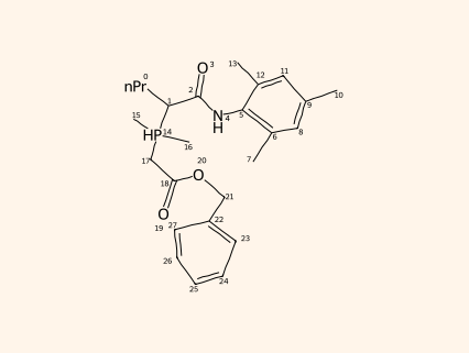 CCCC(C(=O)Nc1c(C)cc(C)cc1C)[PH](C)(C)CC(=O)OCc1ccccc1